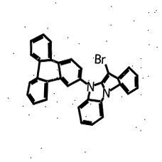 Brc1c2ccccc2n2c3ccccc3n(-c3ccc4c5ccccc5c5ccccc5c4c3)c12